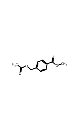 COC(=S)c1ccc(COC(C)=O)cc1